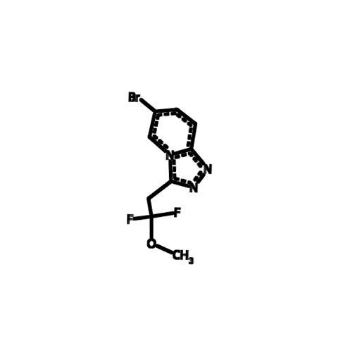 COC(F)(F)Cc1nnc2ccc(Br)cn12